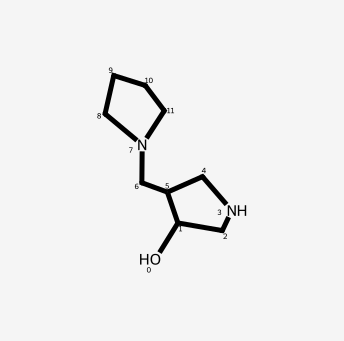 OC1CNCC1CN1CCCC1